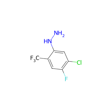 NNc1cc(Cl)c(F)cc1C(F)(F)F